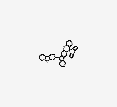 c1ccc2c(c1)Sc1cc3c(cc1C21c2ccccc2-c2ccccc21)c1ccccc1n3-c1ccc2c(c1)oc1ccccc12